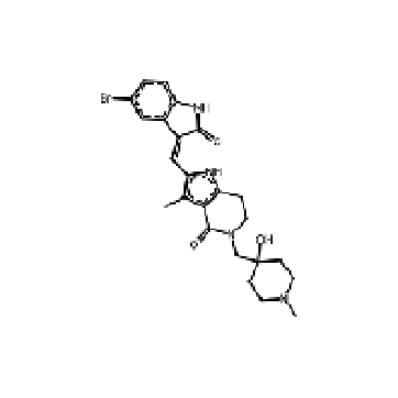 Cc1c(C=C2C(=O)Nc3ccc(Br)cc32)[nH]c2c1C(=O)N(CC1(O)CCN(C)CC1)CC2